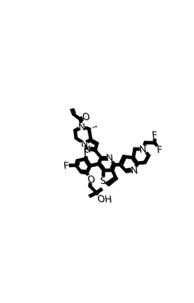 C=CC(=O)N1CCn2nc(-c3nc(-c4cnc5c(c4)CN(CC(F)F)CC5)c4ccsc4c3-c3c(F)cc(F)cc3OCC(C)(C)O)cc2[C@H]1C